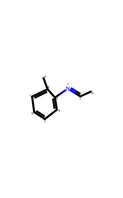 CC=Nc1ccccc1C